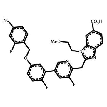 COCCn1c(Cc2ncc(-c3cc(OCc4ccc(C#N)cc4F)ccc3F)cc2F)nc2ccc(C(=O)O)cc21